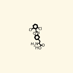 N[C@@H](Cc1ccc2oc(-c3c(Cl)cccc3Cl)nc2c1)C(=O)O